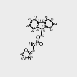 O=C(NCc1nnco1)OCC1c2ccccc2-c2ccccc21